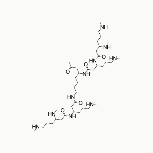 CNCCCC(CC(=O)NC(CCCNC)CC(=O)NCCCCC(CC(C)=O)NC(=O)CC(CCCNC)NC(=O)CC(CCCNC)NC)NC